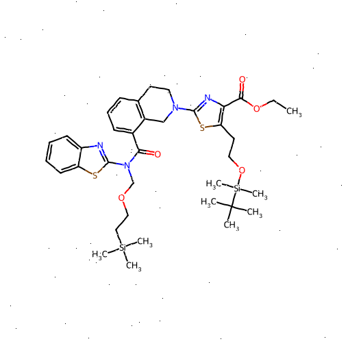 CCOC(=O)c1nc(N2CCc3cccc(C(=O)N(COCC[Si](C)(C)C)c4nc5ccccc5s4)c3C2)sc1CCO[Si](C)(C)C(C)(C)C